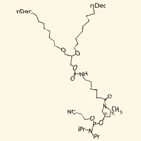 CCCCCCCCCCCCCCCCCCOCC(COC(=O)NCCCCCC(=O)N1C[C@H](OP(OCCC#N)N(C(C)C)C(C)C)C[C@H]1C)OCCCCCCCCCCCCCCCCCC